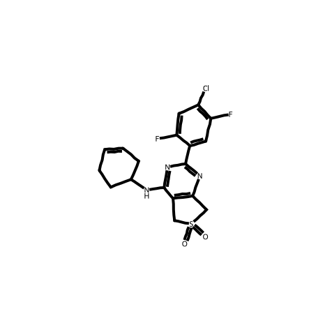 O=S1(=O)Cc2nc(-c3cc(F)c(Cl)cc3F)nc(NC3CC=CCC3)c2C1